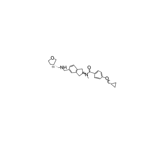 CN(C(=O)c1ccc(OCC2CC2)cc1)[C@@H]1Cc2ccc(CNC[C@@H]3CCOC3)cc2C1